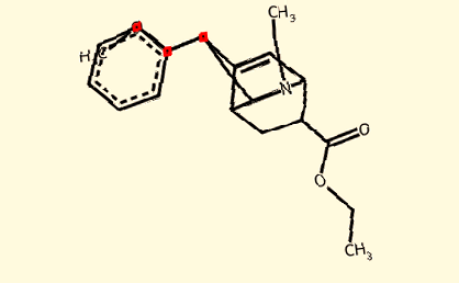 CCOC(=O)C1CC2C(CCOC)=CC1N(C)C2Cc1ccccc1